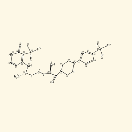 C[C@@H](COC[C@@H](O)C(=O)N1CCN(c2ncc(C(F)(F)F)cn2)CC1)Nc1cn[nH]c(=O)c1C(F)(F)F